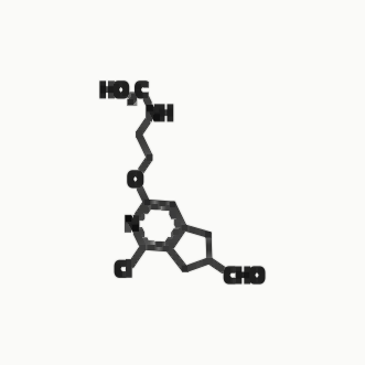 O=CC1Cc2cc(OCCNC(=O)O)nc(Cl)c2C1